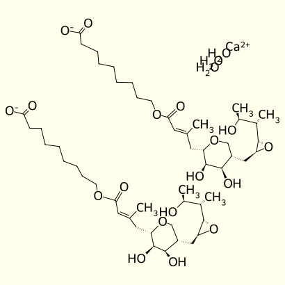 C/C(=C\C(=O)OCCCCCCCCC(=O)[O-])C[C@@H]1OC[C@H](C[C@@H]2O[C@H]2[C@@H](C)[C@H](C)O)[C@@H](O)[C@H]1O.C/C(=C\C(=O)OCCCCCCCCC(=O)[O-])C[C@@H]1OC[C@H](C[C@@H]2O[C@H]2[C@@H](C)[C@H](C)O)[C@@H](O)[C@H]1O.O.O.O.[Ca+2]